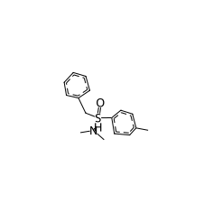 Cc1ccc([SH](=O)(Cc2ccccc2)N(C)C)cc1